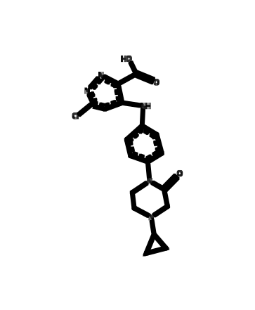 O=C(O)c1nnc(Cl)cc1Nc1ccc(N2CCN(C3CC3)CC2=O)cc1